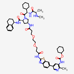 CN[C@@H](C)C(=O)N[C@H](C(=O)N1C[C@@H](NC(=O)CCOCCOCCC(=O)Nc2nc3ccc(-c4cnc(C)c(NC(=O)OC5CCCCC5)c4)cc3s2)C[C@H]1C(=O)N[C@@H]1CCCc2ccccc21)C1CCCCC1